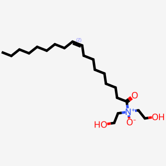 CCCCCCCC/C=C\CCCCCCCC(=O)[N+]([O-])(CCO)CCO